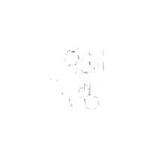 CC(NC(=O)Cn1cc(C(=O)C2CCCCC2)c2ccccc21)c1ccccc1